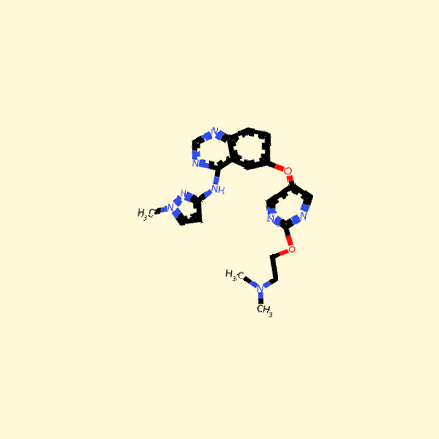 CN(C)CCOc1ncc(Oc2ccc3ncnc(Nc4ccn(C)n4)c3c2)cn1